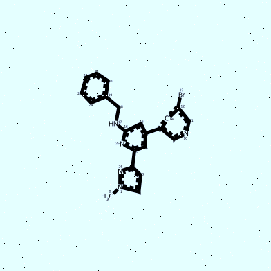 Cn1ccc(-c2cc(-c3cncc(Br)c3)cc(NCc3ccccc3)n2)n1